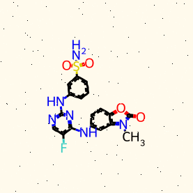 Cn1c(=O)oc2ccc(Nc3nc(Nc4cccc(S(N)(=O)=O)c4)ncc3F)cc21